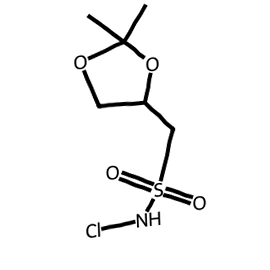 CC1(C)OCC(CS(=O)(=O)NCl)O1